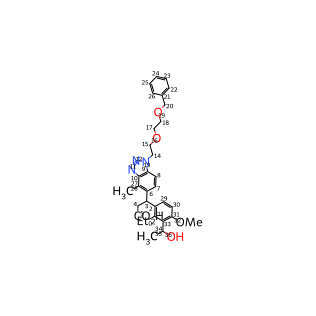 CCc1c(C(CC(=O)O)c2ccc3c(nnn3CCOCCOCc3ccccc3)c2C)ccc(OC)c1C(C)O